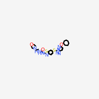 O=C(NCCN1CCOCC1)Nc1nc2ccc(Sc3nnc4ccc(OC5CCCCCC5)nn34)cc2s1